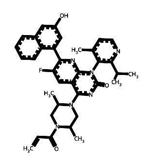 C=CC(=O)N1CC(C)N(c2nc(=O)n(-c3c(C)ccnc3C(C)C)c3nc(-c4cc(O)cc5ccccc45)c(F)cc23)CC1C